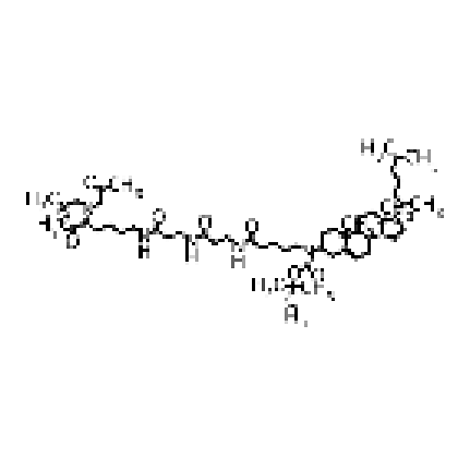 CC(=O)CN(CC(C)=O)[C@@H](CCCCNC(=O)CCNC(=O)CCNC(=O)CCCCN(C(=O)OC(C)(C)C)C1CC[C@@]2(C)C(=CCC3C2CC[C@@]2(C)C3CC[C@@H]2C(C)CCCC(C)C)C1)C(C)=O